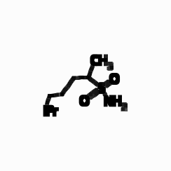 CC(C)CCCC(C)S(N)(=O)=O